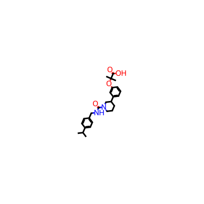 CC(C)c1ccc(CNC(=O)N2CCCC(c3cccc(OC(C)(C)C(=O)O)c3)C2)cc1